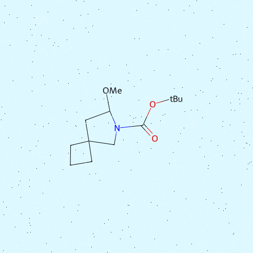 COC1CC2(CCC2)CN1C(=O)OC(C)(C)C